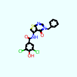 O=C(Nc1csc2ncn(Cc3ccccc3)c(=O)c12)c1cc(Cl)c(O)c(Cl)c1